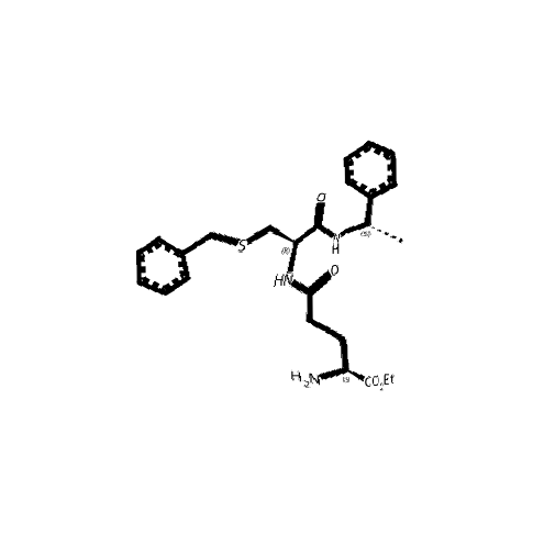 CCOC(=O)[C@@H](N)CCC(=O)N[C@@H](CSCc1ccccc1)C(=O)N[C@@H](C)c1ccccc1